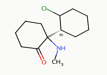 CNC1([C@H]2CCCCC2Cl)CCCCC1=O